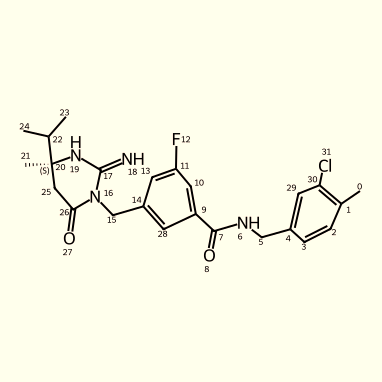 Cc1ccc(CNC(=O)c2cc(F)cc(CN3C(=N)N[C@](C)(C(C)C)CC3=O)c2)cc1Cl